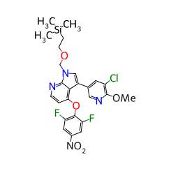 COc1ncc(-c2cn(COCC[Si](C)(C)C)c3nccc(Oc4c(F)cc([N+](=O)[O-])cc4F)c23)cc1Cl